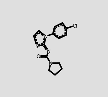 O=C(N=c1sccn1-c1ccc(Cl)cc1)N1CCCC1